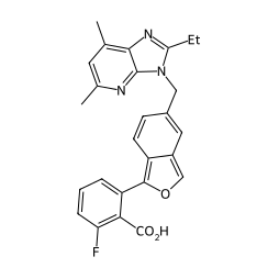 CCc1nc2c(C)cc(C)nc2n1Cc1ccc2c(-c3cccc(F)c3C(=O)O)occ2c1